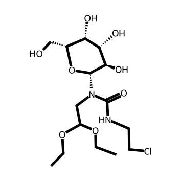 CCOC(CN(C(=O)NCCCl)[C@@H]1O[C@H](CO)[C@H](O)[C@H](O)[C@H]1O)OCC